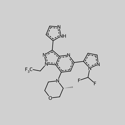 C[C@@H]1COCCN1c1cc(-c2ccnn2C(F)F)nc2c(-c3ccn[nH]3)nn(CC(F)(F)F)c12